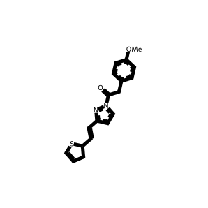 COc1ccc(CC(=O)n2ccc(/C=C/C3CC=CS3)n2)cc1